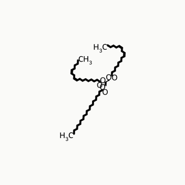 CCCCC/C=C\C/C=C\CCCCCCCC(=O)OC[C@@H](COC(=O)CCCCCCCCCCCCCCCCCCC)OC(=O)CCCCCCC/C=C\C/C=C\CCCCC